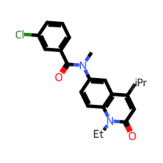 CCn1c(=O)cc(C(C)C)c2cc(N(C)C(=O)c3cccc(Cl)c3)ccc21